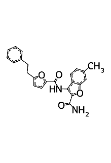 Cc1ccc2c(NC(=O)c3ccc(CCc4ccccc4)o3)c(C(N)=O)oc2c1